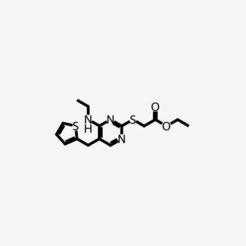 CCNc1nc(SCC(=O)OCC)ncc1Cc1cccs1